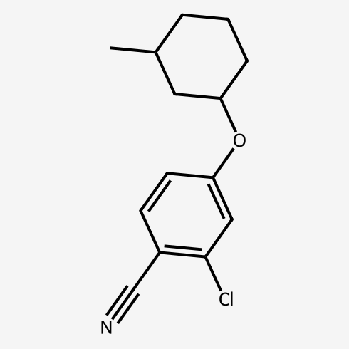 CC1CCCC(Oc2ccc(C#N)c(Cl)c2)C1